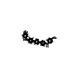 CCCCc1ccc(Nc2ccc(-c3ccc(-c4ccc(Nc5ccc(CCCC)cc5)cc4)cc3)cc2)cc1